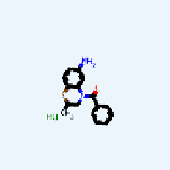 CC1CN(C(=O)c2ccccc2)c2cc(N)ccc2S1.Cl